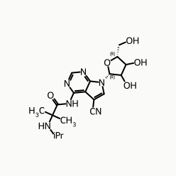 CC(C)NC(C)(C)C(=O)Nc1ncnc2c1c(C#N)cn2[C@@H]1O[C@H](CO)C(O)C1O